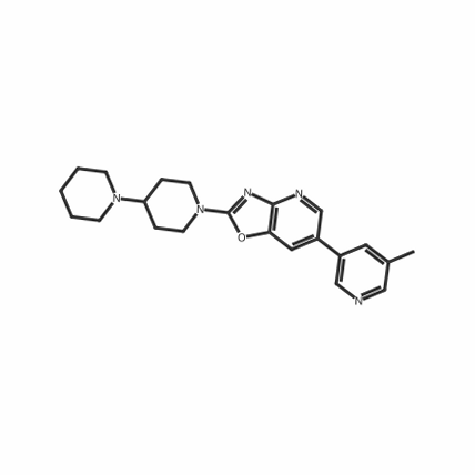 Cc1cncc(-c2cnc3nc(N4CCC(N5CCCCC5)CC4)oc3c2)c1